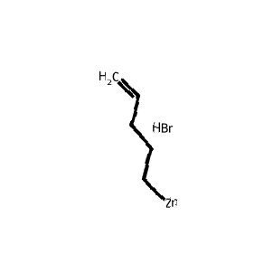 Br.C=CCC[CH2][Zn]